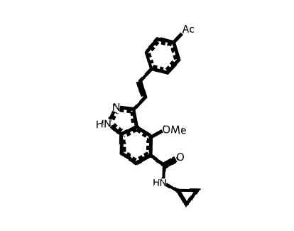 COc1c(C(=O)NC2CC2)ccc2[nH]nc(C=Cc3ccc(C(C)=O)cc3)c12